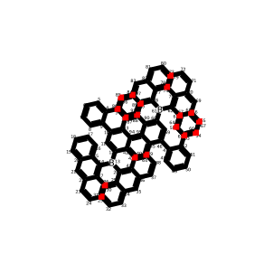 c1ccc(-c2ccccc2-c2cc(B(c3c4ccccc4cc4ccccc34)c3c4ccccc4cc4ccccc34)c3ccc4c(-c5ccccc5-c5ccccc5)cc(B(c5c6ccccc6cc6ccccc56)c5c6ccccc6cc6ccccc56)c5ccc2c3c54)cc1